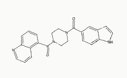 O=C(c1ccc2[nH]ccc2c1)N1CCN(C(=O)c2cccc3ncccc23)CC1